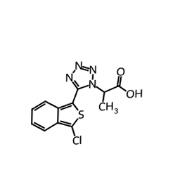 CC(C(=O)O)n1nnnc1-c1sc(Cl)c2ccccc12